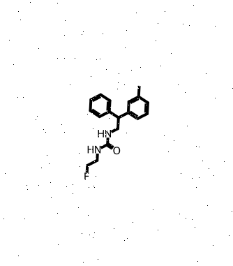 Cc1cccc(C(CNC(=O)NCCF)c2ccccc2)c1